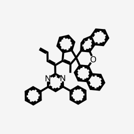 C=C/C=C(\C1=C(C)C2(c3ccccc31)c1ccc3ccccc3c1Oc1c2ccc2ccccc12)c1nc(-c2ccccc2)cc(-c2ccccc2)n1